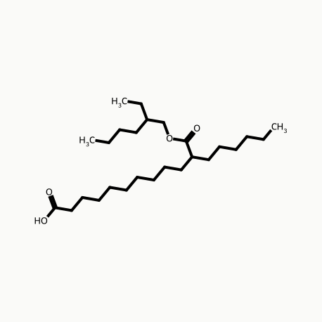 CCCCCCC(CCCCCCCCCC(=O)O)C(=O)OCC(CC)CCCC